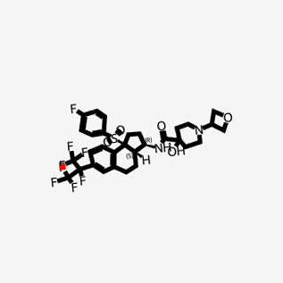 O=C(N[C@@H]1CC[C@@]2(S(=O)(=O)c3ccc(F)cc3)c3ccc(C(F)(C(F)(F)F)C(F)(F)F)cc3CC[C@@H]12)C1(O)CCN(C2COC2)CC1